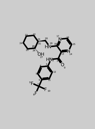 O=C(Nc1ccc(C(F)(F)F)cc1)c1nccnc1NC[C@@H]1CCCC[C@H]1O